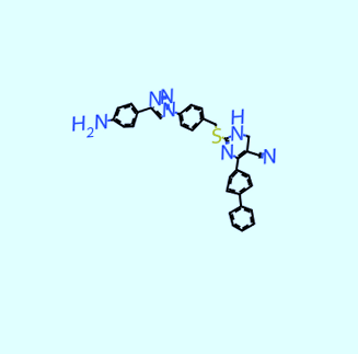 N#CC1=C(c2ccc(-c3ccccc3)cc2)N=C(SCc2ccc(-n3cc(-c4ccc(N)cc4)nn3)cc2)NC1